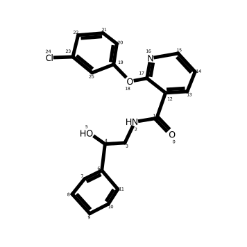 O=C(NCC(O)c1ccccc1)c1cccnc1Oc1cccc(Cl)c1